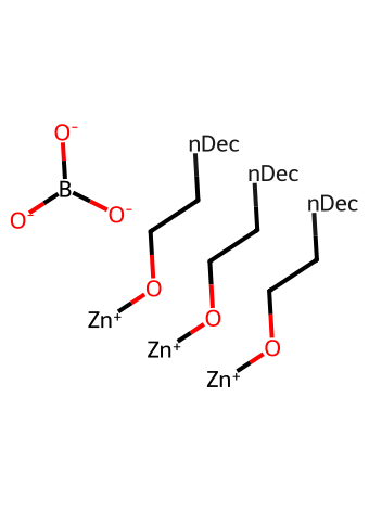 CCCCCCCCCCCC[O][Zn+].CCCCCCCCCCCC[O][Zn+].CCCCCCCCCCCC[O][Zn+].[O-]B([O-])[O-]